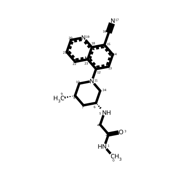 CNC(=O)CN[C@@H]1C[C@H](C)CN(c2ccc(C#N)c3ncccc23)C1